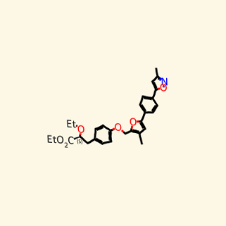 CCOC(=O)[C@H](Cc1ccc(OCc2oc(-c3ccc(-c4cc(C)no4)cc3)cc2C)cc1)OCC